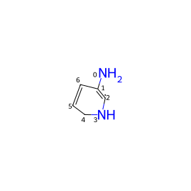 NC1=[C]NCC=C1